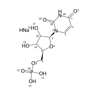 O=c1ccn([C@H]2O[C@@H](COP(=O)(O)O)C(O)C2O)c(=O)[nH]1.[NaH]